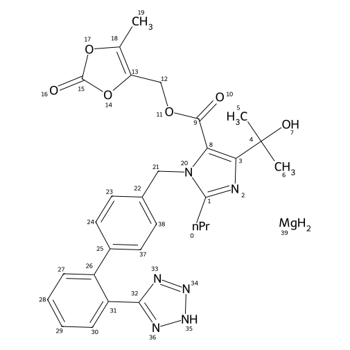 CCCc1nc(C(C)(C)O)c(C(=O)OCc2oc(=O)oc2C)n1Cc1ccc(-c2ccccc2-c2nn[nH]n2)cc1.[MgH2]